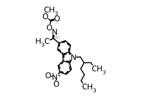 CCCCC(CC)Cn1c2ccc(/C(C)=N/OC(=O)OC)cc2c2cc([N+](=O)[O-])ccc21